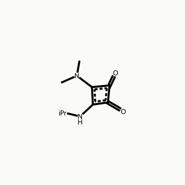 CC(C)Nc1c(N(C)C)c(=O)c1=O